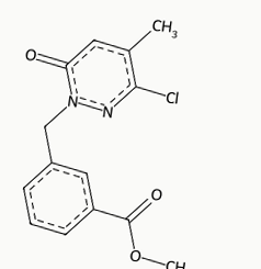 COC(=O)c1cccc(Cn2nc(Cl)c(C)cc2=O)c1